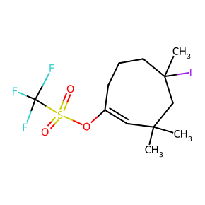 CC1(C)/C=C(/OS(=O)(=O)C(F)(F)F)CCCC(C)(I)C1